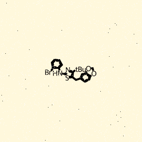 CC(C)(C)c1nc(Nc2ccccc2Br)sc1Cc1ccc2c(c1)OCO2